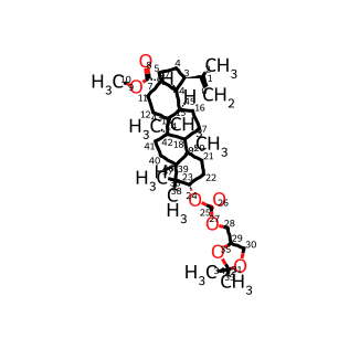 C=C(C)[C@@H]1CC[C@]2(C(=O)OC)CC[C@]3(C)[C@H](CCC4[C@@]5(C)CC[C@H](OC(=O)OCC6COC(C)(C)O6)C(C)(C)[C@@H]5CC[C@]43C)[C@@H]12